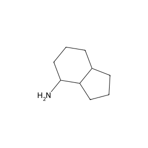 NC1CCCC2CCCC12